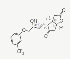 O=C1C[C@H]2[C@H](CC(=O)[C@@H]2/C=C/[C@@H](O)COc2cccc(C(F)(F)F)c2)O1